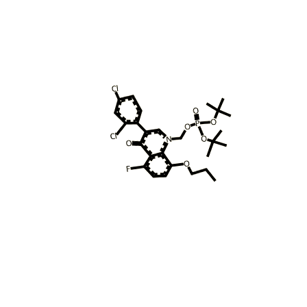 CCCOc1ccc(F)c2c(=O)c(-c3ccc(Cl)cc3Cl)cn(COP(=O)(OC(C)(C)C)OC(C)(C)C)c12